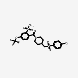 CS(=O)(=O)c1cc(OC(F)(F)F)ccc1C(=O)N1CCC(CS(=O)(=O)c2ccc(Cl)cc2)CC1